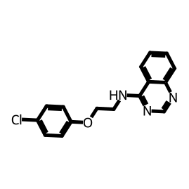 Clc1ccc(OCCNc2ncnc3ccccc23)cc1